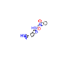 O=C(CN1Cc2ccccc2C1=O)Nc1cc2cc(-c3cn[nH]c3)ccc2cn1